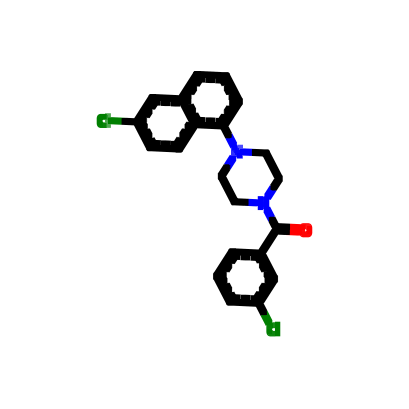 O=C(c1cccc(Cl)c1)N1CCN(c2cccc3cc(Cl)ccc23)CC1